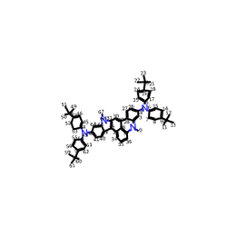 CN1c2cc(N(c3ccc(C(C)(C)C)cc3)c3ccc(C(C)(C)C)cc3)ccc2-c2cc3c(c4cccc1c24)c1ccc(N(C2=CC=C(C(C)(C)C)CC2)c2ccc(C(C)(C)C)cc2)cc1n3C